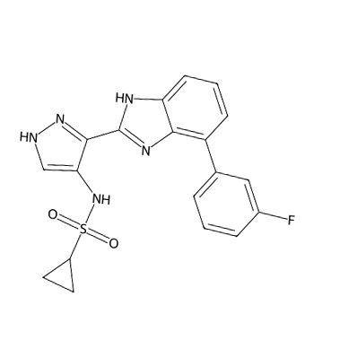 O=S(=O)(Nc1c[nH]nc1-c1nc2c(-c3cccc(F)c3)cccc2[nH]1)C1CC1